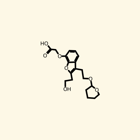 O=C(O)COc1cccc2c(CCOC3CCCCO3)c(CCO)oc12